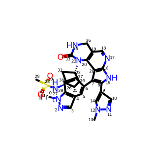 CC(C)n1ncc2cc(-c3c(-c4cnn(C)c4)[nH]c4ncc5c(c34)N([C@@H]3CC[C@@H](NS(C)(=O)=O)C3)C(=O)NC5)ccc21